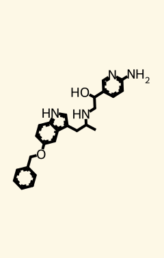 CC(Cc1c[nH]c2ccc(OCc3ccccc3)cc12)NCC(O)c1ccc(N)nc1